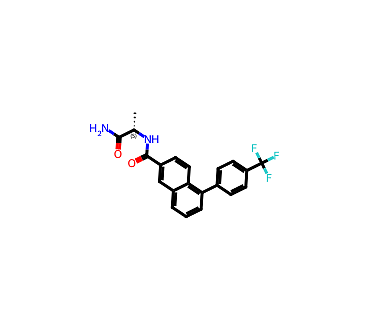 C[C@H](NC(=O)c1ccc2c(-c3ccc(C(F)(F)F)cc3)cccc2c1)C(N)=O